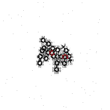 CC(C)(C)c1ccc2c3ccc(C(C)(C)C)cc3n(-c3cc4c5c(c3)N(c3ccccc3-c3ccccc3)c3cc(-c6cc([Si](c7ccccc7)(c7ccccc7)c7cccc(-c8ccccc8)c7)cc([Si](c7ccccc7)(c7ccccc7)c7cccc(-c8ccccc8)c7)c6)ccc3B5c3ccc(-c5ccccc5)cc3N4c3ccccc3-c3ccccc3)c2c1